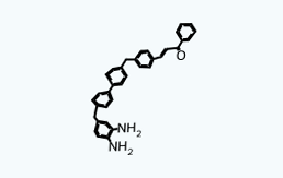 Nc1ccc(Cc2ccc(-c3ccc(Cc4ccc(/C=C/C(=O)c5ccccc5)cc4)cc3)cc2)cc1N